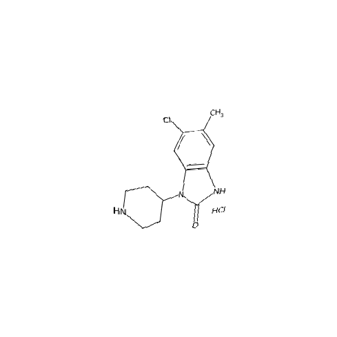 Cc1cc2[nH]c(=O)n(C3CCNCC3)c2cc1Cl.Cl